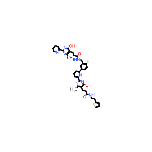 Cc1nc(-c2ccccn2)nc(O)c1CCC(=O)NCc1cc(-c2cccc(-c3nc(C)c(CCC(=O)NCCc4cccs4)c(O)n3)n2)ccc1F